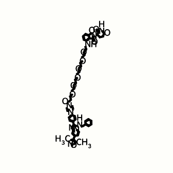 Cc1noc(C)c1-c1ccn2c(NCc3ccccc3)c(-c3ccc(N4CCN(C(=O)CCOCCOCCOCCOCCOCCOCCNc5cccc6c5C(=O)N(C5CCC(=O)NC5=O)C6=O)CC4)cc3)nc2c1